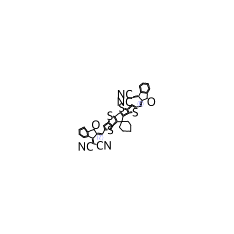 N#CC(C#N)=C1/C(=C/c2cc3sc4c(c3s2)C2(CCCCC2)c2c-4sc3cc(/C=C4/C(=O)c5ccccc5C4=C(C#N)C#N)sc23)C(=O)c2ccccc21